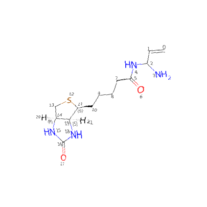 C=CC(N)NC(=O)CCCC[C@@H]1SC[C@@H]2NC(=O)N[C@@H]21